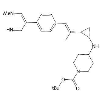 CN/C=C(\C=N)c1ccc(/C=C(\C)[C@@H]2CC2NC2CCN(C(=O)OC(C)(C)C)CC2)cc1